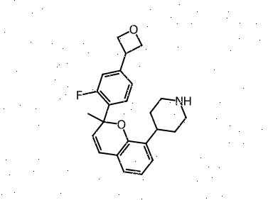 CC1(c2ccc(C3COC3)cc2F)C=Cc2cccc(C3CCNCC3)c2O1